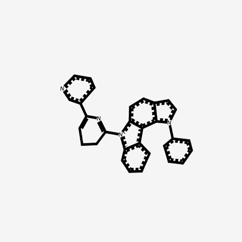 C1=C(c2cccnc2)N=C(n2c3ccccc3c3c4c(ccc32)ccn4-c2ccccc2)CC1